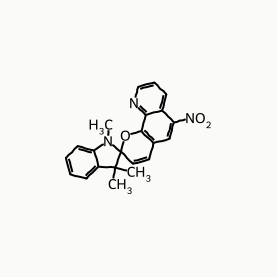 CN1c2ccccc2C(C)(C)C12C=Cc1cc([N+](=O)[O-])c3cccnc3c1O2